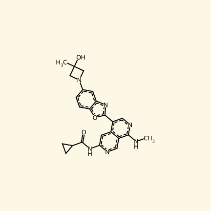 CNc1ncc(-c2nc3cc(N4CC(C)(O)C4)ccc3o2)c2cc(NC(=O)C3CC3)ncc12